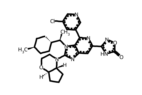 C[C@H]([C@H]1CC[C@H](C)CC1)n1c(N2CCO[C@@H]3CCC[C@H]32)nc2cc(-c3noc(=O)[nH]3)nc(-c3cncc(Cl)c3)c21